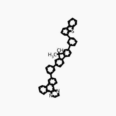 CC1(C)c2cc(-c3cccc(-c4ccc5c(c4)c4ccccc4c4nccnc54)c3)ccc2-c2ccc(-c3cccc(-c4cccc5c4sc4ccccc45)c3)cc21